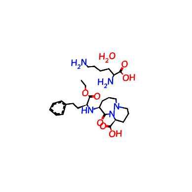 CCOC(=O)[C@H](CCc1ccccc1)N[C@H]1CCCN2CCC[C@@H](C(=O)O)N2C1=O.NCCCCC(N)C(=O)O.O